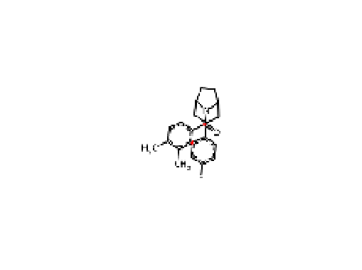 Cc1ccc(C(=O)N2C3CCC2CC(c2ccc(F)cc2)C3)cc1C